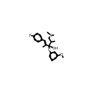 COc1cccc(CC(O)(/C(C)=C/c2ccc(F)cc2)C(C)CN(C)C)c1